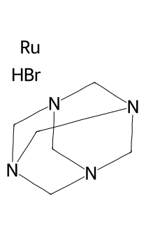 Br.C1N2CN3CN1CN(C2)C3.[Ru]